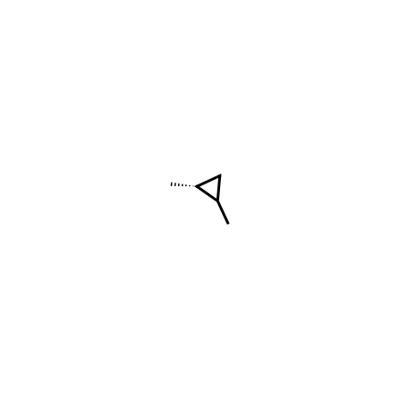 CC1C[C@H]1C